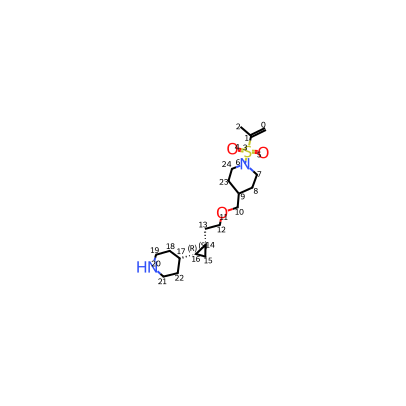 C=C(C)S(=O)(=O)N1CCC(COCC[C@@H]2C[C@@H]2C2CCNCC2)CC1